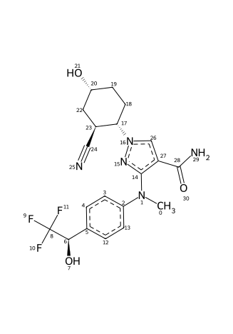 CN(c1ccc([C@@H](O)C(F)(F)F)cc1)c1nn([C@H]2CC[C@@H](O)C[C@@H]2C#N)cc1C(N)=O